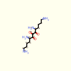 NCCCCC(N)C(=O)C(=O)C(=O)C(N)CCCCN